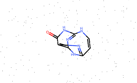 O=c1[nH]c2nc3[nH]c(cc[nH]2)nc13